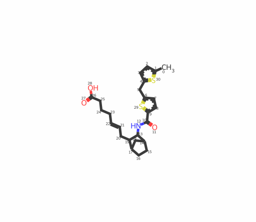 Cc1ccc(Cc2ccc(C(=O)NC3C4CCC(C4)C3CC=CCCCC(=O)O)s2)s1